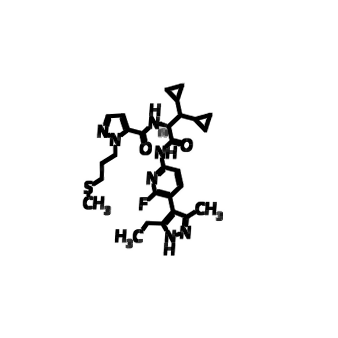 CCc1[nH]nc(C)c1-c1ccc(NC(=O)[C@@H](NC(=O)c2ccnn2CCCSC)C(C2CC2)C2CC2)nc1F